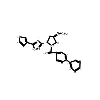 CO/N=C1/C[C@@H](c2noc(-c3ccsc3)n2)N(C(=O)c2ccc(-c3ccccc3)cc2)C1